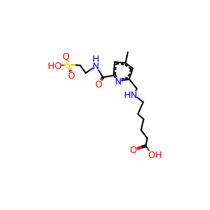 Cc1cc(CNCCCCCC(=O)O)nc(C(=O)NCCS(=O)(=O)O)c1